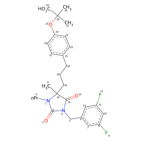 CCCN1C(=O)N(Cc2cc(F)cc(F)c2)C(=O)C1(C)CCCc1ccc(OC(C)(C)C(=O)O)cc1